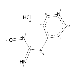 Cl.N=C(N=O)Sc1ccncc1